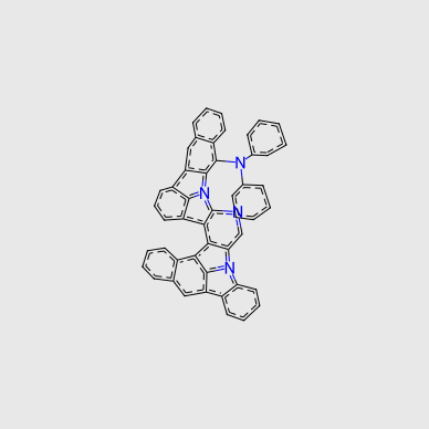 c1ccc(N(c2ccccc2)c2c3ccccc3cc3c4cccc5c6c7c8c9ccccc9cc9c%10ccccc%10n(c7cnc6n(c23)c45)c98)cc1